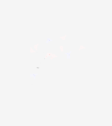 COCC/N=C1\C=C2C(OC(C)C)(CCC3(C)[C@@]4(C)c5[nH]c6ccccc6c5C[C@@H]4C[C@H](OCC(=O)NCCOC)[C@@]23O)OC1C